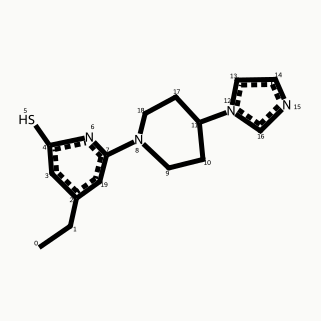 CCc1cc(S)nc(N2CCC(n3ccnc3)CC2)c1